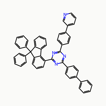 c1ccc(-c2ccc(-c3nc(-c4ccc(-c5cccnc5)cc4)nc(-c4cccc5c4-c4ccccc4C5(c4ccccc4)c4ccccc4)n3)cc2)cc1